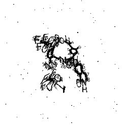 Cc1cc2ccc1[C@@H](C)COC(=O)Nc1ccc(-c3nccn3C)c(c1)CN(C)C(=O)[C@@H]2Nc1ccc2cc[nH]c(=O)c2c1.O=C(O)C(F)(F)F.O=C(O)C(F)(F)F